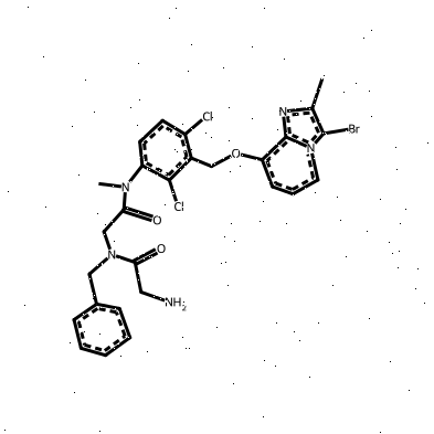 Cc1nc2c(OCc3c(Cl)ccc(N(C)C(=O)CN(Cc4ccccc4)C(=O)CN)c3Cl)cccn2c1Br